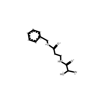 CC(C)C(O)C(=O)NCCC(=O)OCc1ccccc1